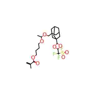 C=C(C)C(=O)OCCCCOC(C)OCC12CC3CC(C1)CC(C1OC(C(F)(F)S(=O)(=O)F)O1)(C3)C2